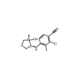 Cc1c(N[C@H]2COC[C@]2(C)O)ccc(C#N)c1Cl